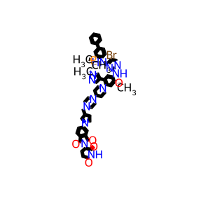 COc1cc(N2CCC(N3CCN(CC4CCN(c5ccc6c(c5)C(=O)N(C5CCC(=O)NC5=O)C6=O)C4)CC3)CC2)c(-c2cnn(C)c2)cc1Nc1ncc(Br)c(Nc2ccc(-c3ccccc3)cc2P(C)C)n1